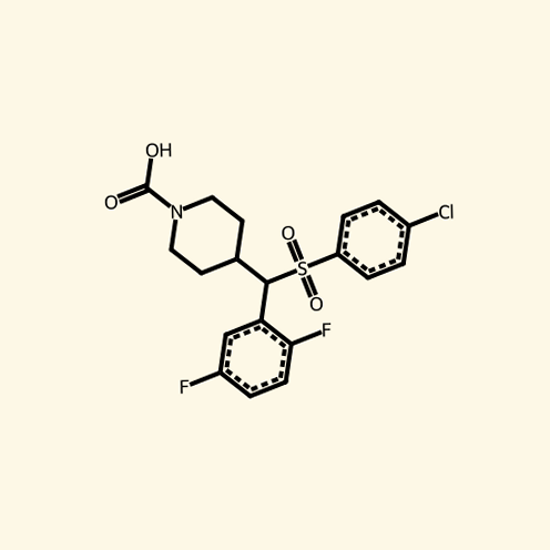 O=C(O)N1CCC(C(c2cc(F)ccc2F)S(=O)(=O)c2ccc(Cl)cc2)CC1